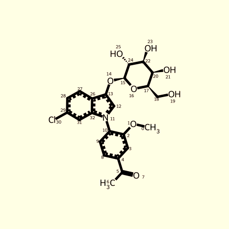 COc1cc(C(C)=O)ccc1-n1cc(O[C@@H]2O[C@H](CO)[C@H](O)[C@H](O)[C@H]2O)c2ccc(Cl)cc21